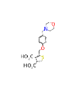 O=C(O)c1csc(COc2ccc(CN3CCOCC3)cc2)c1C(=O)O